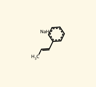 CC=Cc1ccccc1.[NaH]